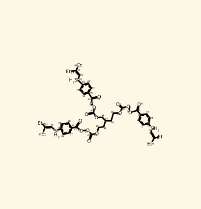 CCC(=C[SiH2]c1ccc(C(=O)OOC(=O)OCCC(CCOC(=O)OOC(=O)c2ccc([SiH2]C=C(CC)CC)cc2)COC(=O)OOC(=O)c2ccc([SiH2]C=C(CC)CC)cc2)cc1)CC